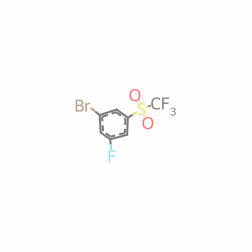 O=S(=O)(c1cc(F)cc(Br)c1)C(F)(F)F